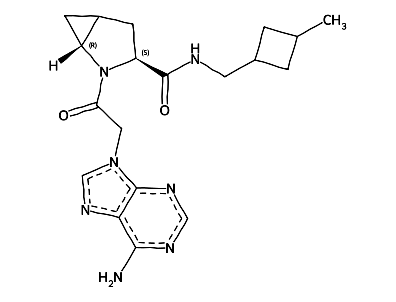 CC1CC(CNC(=O)[C@@H]2CC3C[C@H]3N2C(=O)Cn2cnc3c(N)ncnc32)C1